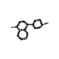 Cc1ccc(-c2ccc(C)c3ccccc23)cc1